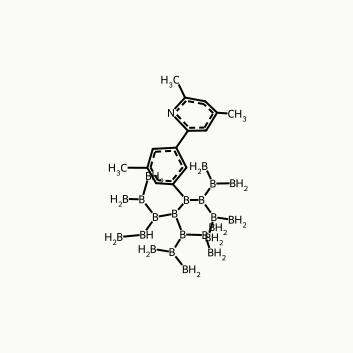 BBB(B(B)B)B(B(B(B)B)B(B)B)B(B(B(B)B)B(B)B)c1cc(C)cc(-c2cc(C)cc(C)n2)c1